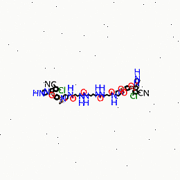 C/C=S(\c1ccc(O[C@H]2c3cc(Cl)cc(C#N)c3C[C@@H]2N2CCNCC2)cc1)N1CCC(NC(=O)CCCNC(=O)NCCCCNC(=O)NCCCC(=O)NC2CCN(S(=O)(=O)c3ccc(O[C@H]4c5cc(Cl)cc(C#N)c5C[C@@H]4N4CCNCC4)cc3)CC2)CC1